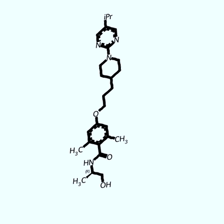 Cc1cc(OCCCC2CCN(c3ncc(C(C)C)cn3)CC2)cc(C)c1C(=O)N[C@H](C)CO